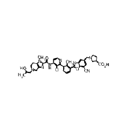 Cc1c(-c2nc3cc(CN4CCC(C(=O)O)C4)cc(C#N)c3o2)cccc1-c1nccc(NC(=O)c2nc3c(n2C)CCN(CC(C)O)C3)c1Cl